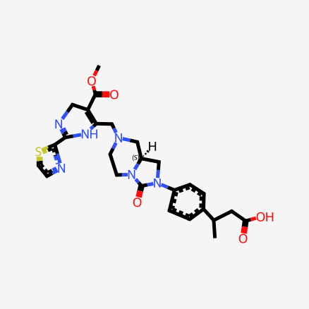 COC(=O)C1=C(CN2CCN3C(=O)N(c4ccc(C(C)CC(=O)O)cc4)C[C@@H]3C2)NC(c2nccs2)=NC1